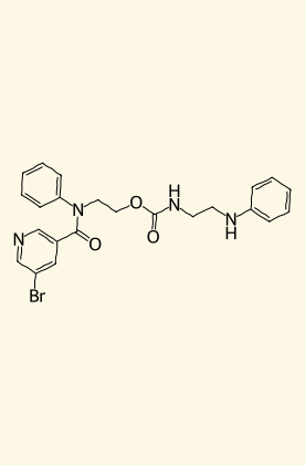 O=C(NCCNc1ccccc1)OCCN(C(=O)c1cncc(Br)c1)c1ccccc1